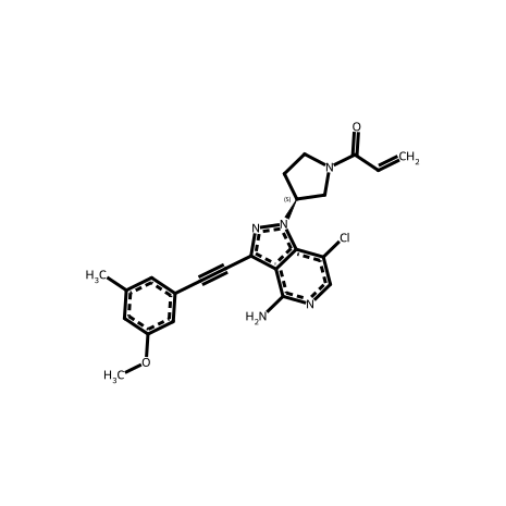 C=CC(=O)N1CC[C@H](n2nc(C#Cc3cc(C)cc(OC)c3)c3c(N)ncc(Cl)c32)C1